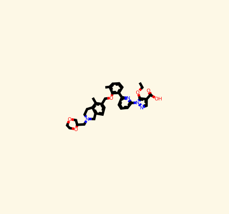 CCOc1c(C(=O)O)cnn1-c1cccc(-c2cccc(C)c2OCc2ccc3c(c2C)CCN(CC2COCCO2)C3)n1